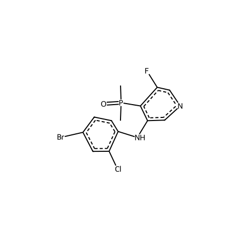 CP(C)(=O)c1c(F)cncc1Nc1ccc(Br)cc1Cl